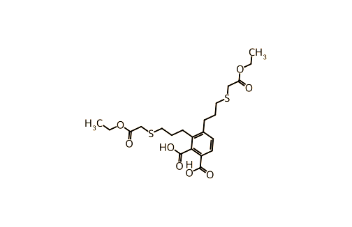 CCOC(=O)CSCCCc1ccc(C(=O)O)c(C(=O)O)c1CCCSCC(=O)OCC